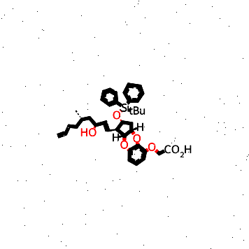 C=CCC[C@H](C)C[C@H](O)C=C[C@@H]1[C@H]2Oc3cccc(OCC(=O)O)c3O[C@H]2C[C@H]1O[Si](c1ccccc1)(c1ccccc1)C(C)(C)C